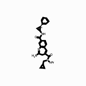 CCCN(CC1CC1)C(=O)C1=Cc2ccc(C(=O)NC3C[C@H]3c3ccccc3)cc2N=C(N)C1